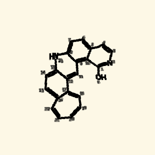 Oc1nccc2ccc3c(c12)C=c1c(ccc2c1=CC=CC=C2)N3